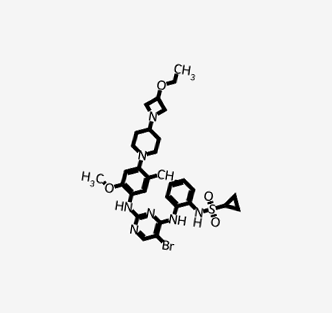 CCOC1CN(C2CCN(c3cc(OC)c(Nc4ncc(Br)c(Nc5ccccc5NS(=O)(=O)C5CC5)n4)cc3C)CC2)C1